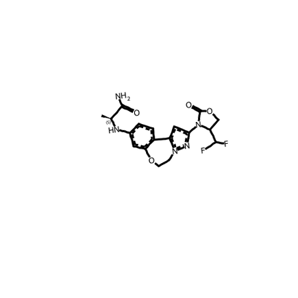 C[C@H](Nc1ccc2c(c1)OCCn1nc(N3C(=O)OCC3C(F)F)cc1-2)C(N)=O